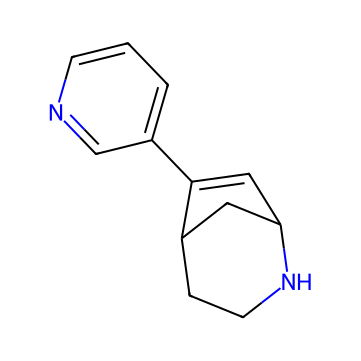 C1=C(c2cccnc2)C2CCNC1C2